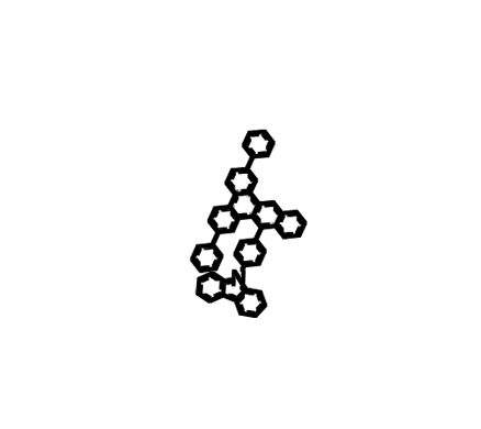 c1ccc(-c2ccc3c4ccc(-c5ccccc5)cc4c4c(-c5ccc(-n6c7ccccc7c7ccccc76)cc5)c5ccccc5cc4c3c2)cc1